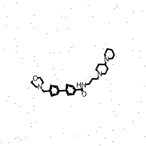 O=C(NCCCN1CCC(N2CCCCC2)CC1)c1ccc(-c2ccc(CN3CCOCC3)cc2)cc1